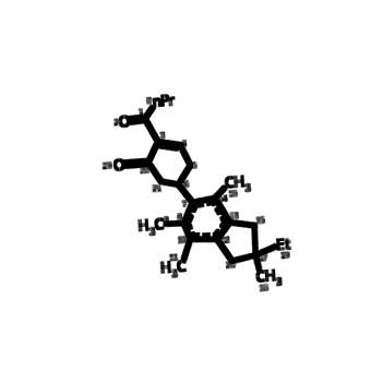 CCCC(=O)C1=CCC(c2c(C)c(C)c3c(c2C)CC(C)(CC)C3)CC1=O